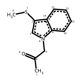 CSc1cn(CC(C)=O)c2ccccc12